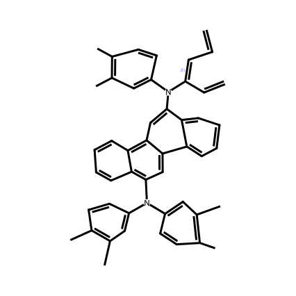 C=C/C=C(\C=C)N(c1ccc(C)c(C)c1)c1cc2c3ccccc3c(N(c3ccc(C)c(C)c3)c3ccc(C)c(C)c3)cc2c2ccccc12